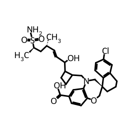 C[C@H](/C=C/C(O)C1CCC1CN1C[C@@]2(CCCc3cc(Cl)ccc32)COc2ccc(C(=O)O)cc21)C[C@@H](C)S(N)(=O)=O